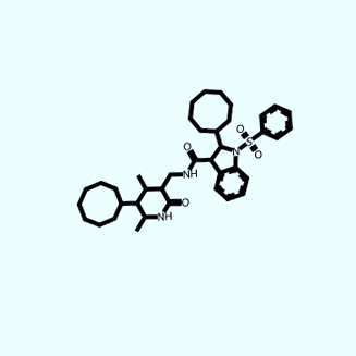 CC1NC(=O)C(CNC(=O)C2c3ccccc3N(S(=O)(=O)c3ccccc3)C2C2CCCCCCC2)C(C)C1C1CCCCCCC1